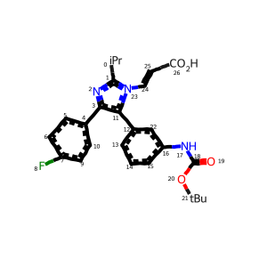 CC(C)c1nc(-c2ccc(F)cc2)c(-c2cccc(NC(=O)OC(C)(C)C)c2)n1C=CC(=O)O